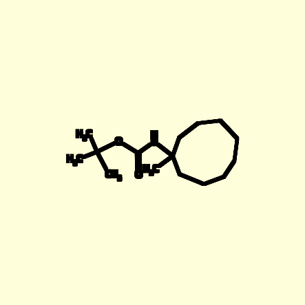 CC1(NC(=O)OC(C)(C)C)CCCCCCCC1